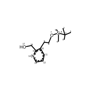 CC(C)(C)[Si](C)(C)OCCc1cccnc1CO